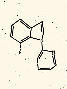 Brc1cccc2ccn(-c3ccccn3)c12